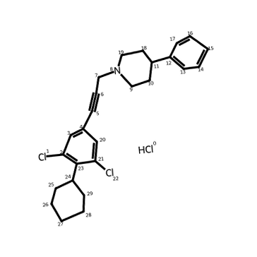 Cl.Clc1cc(C#CCN2CCC(c3ccccc3)CC2)cc(Cl)c1C1CCCCC1